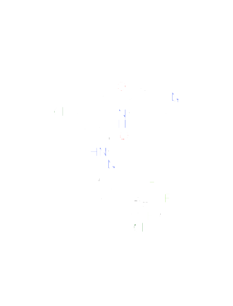 O=C(Nc1ccc(Cl)cc1C(=O)N/N=C/c1ccc(Cl)c(C(F)(F)F)c1)c1ccncc1